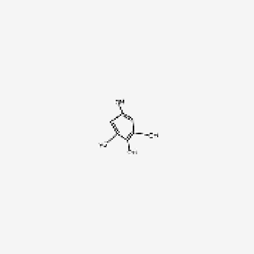 Oc1cc(O)c(O)c(S)c1